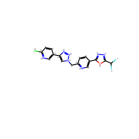 FC(F)c1nnc(-c2ccc(Cn3cc(-c4ccc(Cl)nc4)nn3)nc2)o1